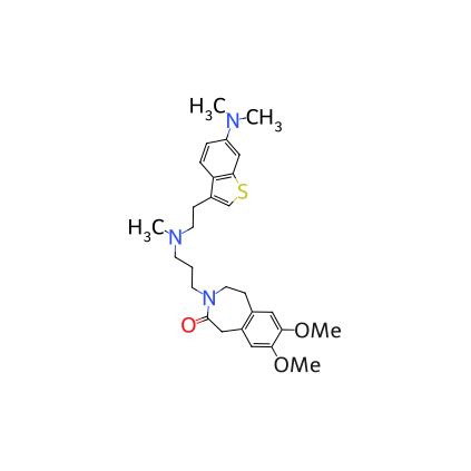 COc1cc2c(cc1OC)CC(=O)N(CCCN(C)CCc1csc3cc(N(C)C)ccc13)CC2